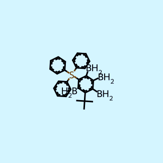 Bc1c(B)c(C(C)(C)C)c(B)c(S(c2ccccc2)(c2ccccc2)c2ccccc2)c1B